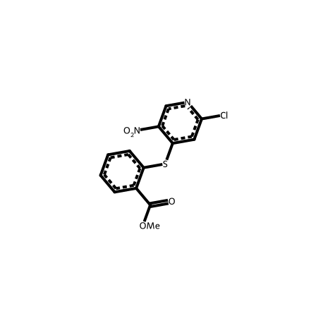 COC(=O)c1ccccc1Sc1cc(Cl)ncc1[N+](=O)[O-]